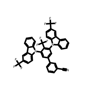 N#Cc1cccc(-c2cc(-n3c4ccccc4c4cc(C(F)(F)F)ccc43)c(C(F)(F)F)c(-n3c4ccccc4c4cc(C(F)(F)F)ccc43)c2)c1